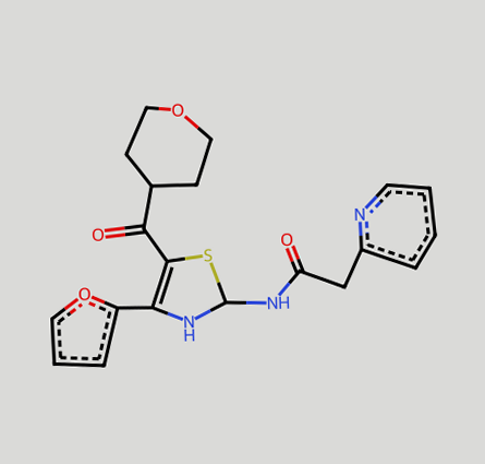 O=C(Cc1ccccn1)NC1NC(c2ccco2)=C(C(=O)C2CCOCC2)S1